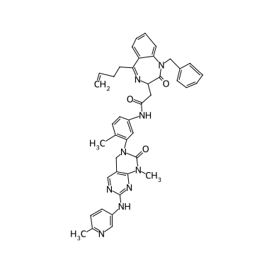 C=CCCC1=NC(CC(=O)Nc2ccc(C)c(N3Cc4cnc(Nc5ccc(C)nc5)nc4N(C)C3=O)c2)C(=O)N(Cc2ccccc2)c2ccccc21